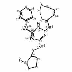 CCN1CCCC1CNC1=NC(NC2CCCCCC2)NC(Nc2ccccn2)=N1